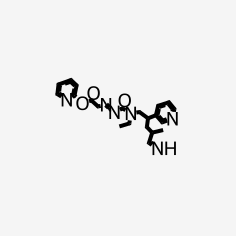 CCN(CC(CC(C)C=N)c1cccnc1)C(=O)N=NCC(=O)Oc1ccccn1